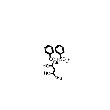 CC(C)(C)C(O)CC(O)C(C)(C)C.O=C(O)c1ccccc1.O=S(=O)(O)c1ccccc1